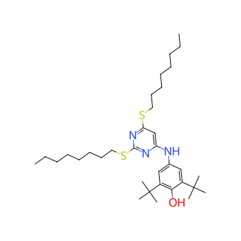 CCCCCCCCSc1cc(Nc2cc(C(C)(C)C)c(O)c(C(C)(C)C)c2)nc(SCCCCCCCC)n1